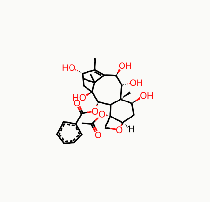 CC(=O)O[C@@]12CO[C@@H]1C[C@H](O)[C@]1(C)C2[C@H](OC(=O)c2ccccc2)[C@]2(O)C[C@H](O)C(C)=C([C@@H](O)[C@@H]1O)C2(C)C